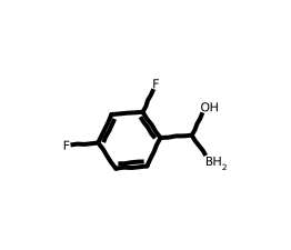 BC(O)c1ccc(F)cc1F